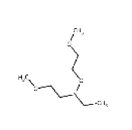 CCN(CCOC)OCCOC